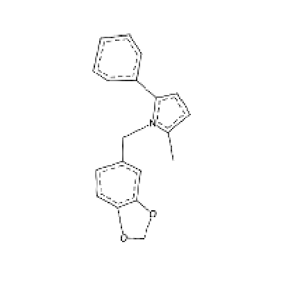 Cc1ccc(-c2ccccc2)n1Cc1ccc2c(c1)OCO2